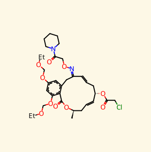 CCOCOc1cc2c(c(OCOCC)c1)C(=O)O[C@H](C)C/C=C/[C@@H](OC(=O)CCl)C/C=C/C(=N/OCC(=O)N1CCCCC1)C2